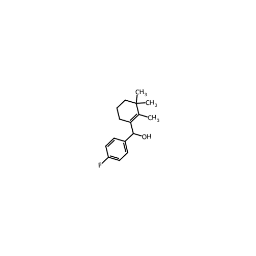 CC1=C(C(O)c2ccc(F)cc2)CCCC1(C)C